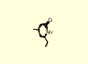 CCc1cc(C)cc(=O)[nH]1